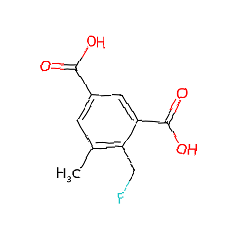 Cc1cc(C(=O)O)cc(C(=O)O)c1CF